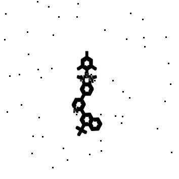 Cc1cc(C)c(B2N(C)c3ccc(-c4ccnc(-c5cc(C(C)(C)C)c6ccccc6c5)c4)cc3N2C)c(C)c1